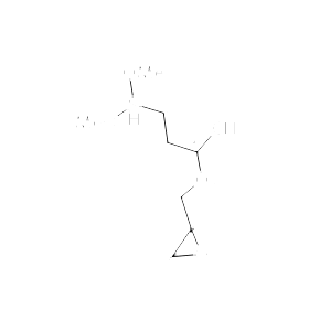 CO[SiH](CCC(C)OCC1CO1)OC